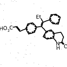 CCC(=C(c1ccc(C=CC(=O)O)cc1)c1ccc2c(c1)CCC(=O)N2)c1ccccc1